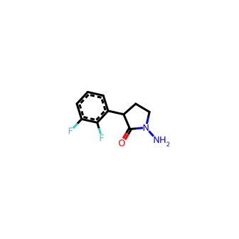 NN1CCC(c2cccc(F)c2F)C1=O